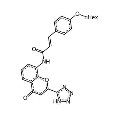 CCCCCCOc1ccc(C=CC(=O)Nc2cccc3c(=O)cc(-c4nnn[nH]4)oc23)cc1